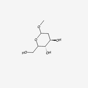 COC1C[C@@H](O)[C@H](O)C(CO)O1